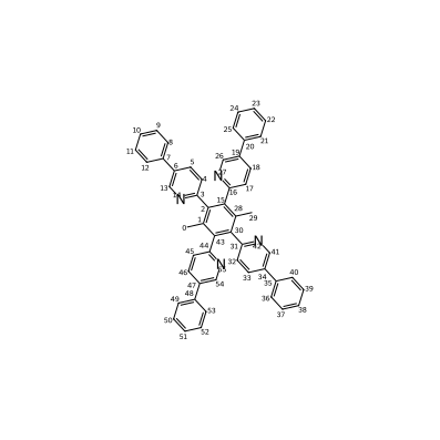 Cc1c(-c2ccc(-c3ccccc3)cn2)c(-c2ccc(-c3ccccc3)cn2)c(C)c(-c2ccc(-c3ccccc3)cn2)c1-c1ccc(-c2ccccc2)cn1